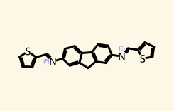 C(=N\c1ccc2c(c1)Cc1cc(/N=C/c3cccs3)ccc1-2)/c1cccs1